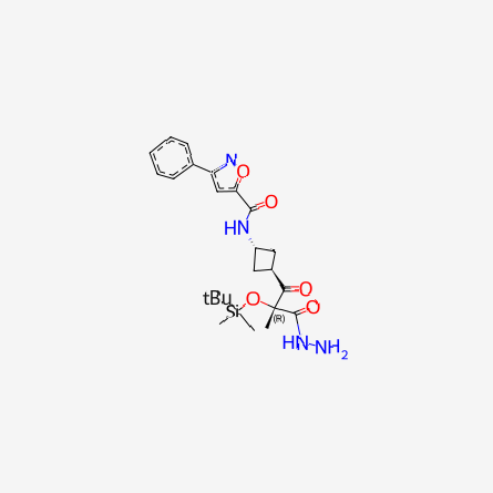 CC(C)(C)[Si](C)(C)O[C@@](C)(C(=O)NN)C(=O)[C@H]1C[C@H](NC(=O)c2cc(-c3ccccc3)no2)C1